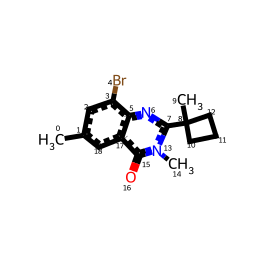 Cc1cc(Br)c2nc(C3(C)CCC3)n(C)c(=O)c2c1